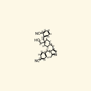 Cc1ncc(CN2CCC(CO)(Cc3ccccc3C#N)CC2)n1Cc1ccc(C#N)cc1